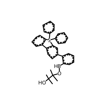 CC(C)(O)C(C)(C)OBc1ccccc1-c1ccc2c(c1)S(c1ccccc1)(c1ccccc1)c1ccccc1-2